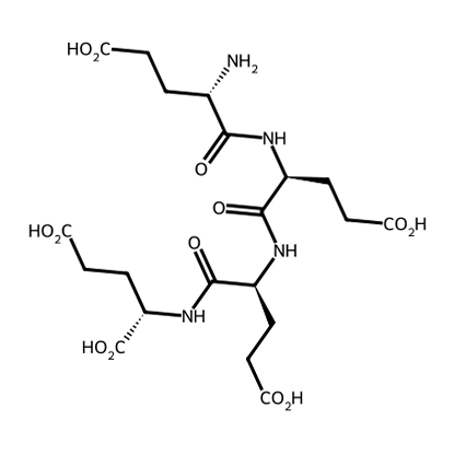 N[C@@H](CCC(=O)O)C(=O)N[C@@H](CCC(=O)O)C(=O)N[C@@H](CCC(=O)O)C(=O)N[C@@H](CCC(=O)O)C(=O)O